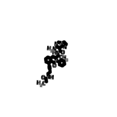 C=CC(=O)NCCC#Cc1cccc2cc(C(C)NC(=O)c3c(N)ncn4ccnc34)n(-c3ccccc3)c(=O)c12